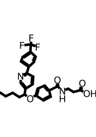 CCCCC(Oc1ccc(C(=O)NCCC(=O)O)cc1)c1ccc(-c2ccc(C(F)(F)F)cc2)nc1